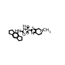 CN1CCc2nc(S(=O)(=O)NC(=O)Nc3c4c(cc5c3CCC5)CCC4)sc2C1